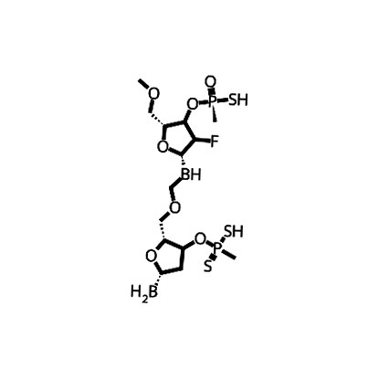 B[C@H]1CC(OP(C)(=S)S)[C@@H](COCB[C@@H]2O[C@H](COC)C(O[P@](C)(=O)S)C2F)O1